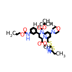 C=CCOC(=O)Nc1cccc(C(CCC(=O)OC)N(C(=O)OC(C)(C)C)c2cc(N3CCOCC3)cc(CSc3nnc(CC)s3)n2)c1